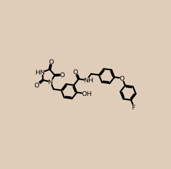 O=C1NC(=O)N(Cc2ccc(O)c(C(=O)NCc3ccc(Oc4ccc(F)cc4)cc3)c2)C1=O